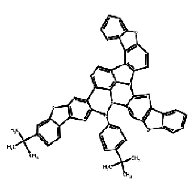 CC(C)(C)c1ccc(N2B3c4cc5sc6ccccc6c5cc4-n4c5ccc6oc7ccccc7c6c5c5ccc(c3c54)-c3cc4sc5cc(C(C)(C)C)ccc5c4cc32)cc1